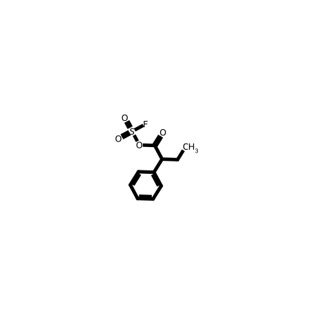 CCC(C(=O)OS(=O)(=O)F)c1ccccc1